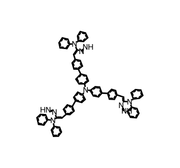 N=NC(=Cc1ccc(-c2ccc(N(c3ccc(-c4ccc(C=C(N=N)N(c5ccccc5)c5ccccc5)cc4)cc3)c3ccc(-c4ccc(C=C(N=N)N(c5ccccc5)c5ccccc5)cc4)cc3)cc2)cc1)N(c1ccccc1)c1ccccc1